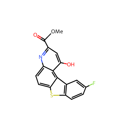 COC(=O)c1cc(O)c2c(ccc3sc4ccc(F)cc4c32)n1